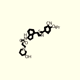 CC(C)Oc1ccc(-c2ncc(-c3cccc4c3CC[C@@H]4NS(=O)(=O)CCN3CCC[C@H](O)C3)s2)cc1C#N